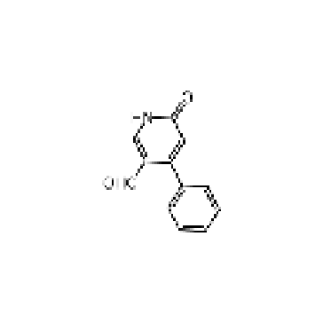 O=Cc1c[nH]c(=O)cc1-c1ccccc1